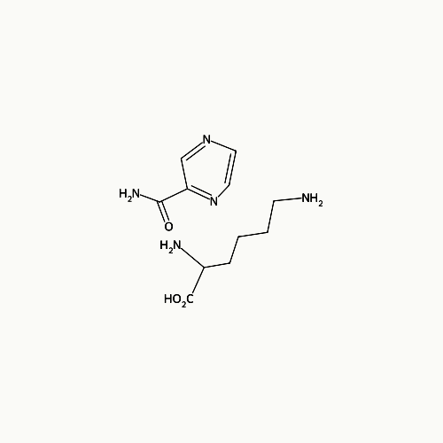 NC(=O)c1cnccn1.NCCCCC(N)C(=O)O